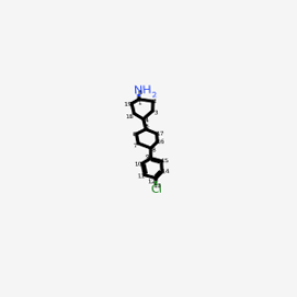 NC1CCC(C2CCC(c3ccc(Cl)cc3)CC2)CC1